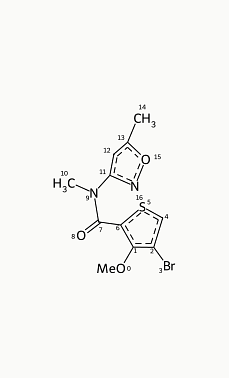 COc1c(Br)csc1C(=O)N(C)c1cc(C)on1